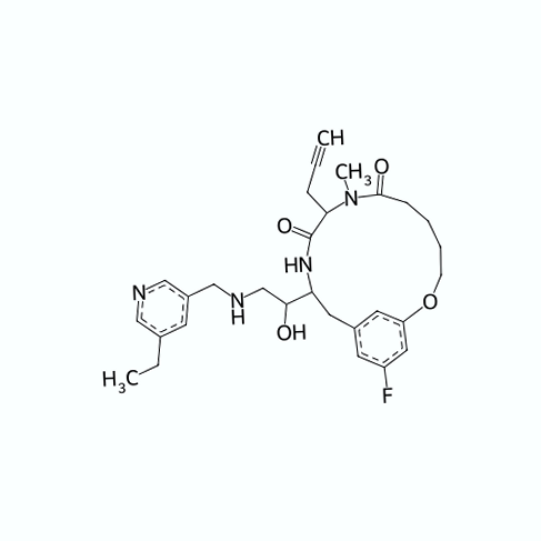 C#CCC1C(=O)NC(C(O)CNCc2cncc(CC)c2)Cc2cc(F)cc(c2)OCCCCC(=O)N1C